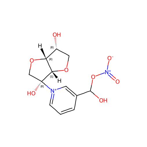 O=[N+]([O-])OC(O)c1ccc[n+]([C@@]2(O)CO[C@@H]3[C@H](O)CO[C@@H]32)c1